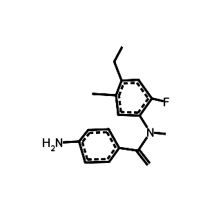 C=C(c1ccc(N)cc1)N(C)c1cc(C)c(CC)cc1F